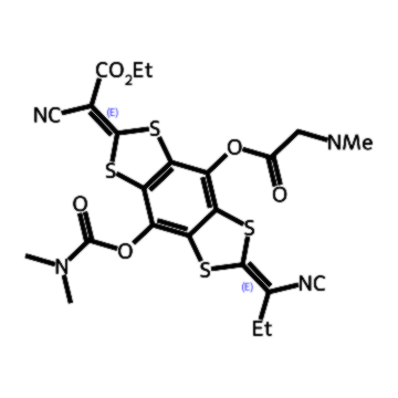 [C-]#[N+]/C(CC)=C1\Sc2c(OC(=O)CNC)c3c(c(OC(=O)N(C)C)c2S1)S/C(=C(\C#N)C(=O)OCC)S3